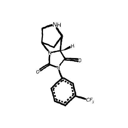 O=C1[C@H]2C3CC(CN3)N2C(=O)N1c1cccc(C(F)(F)F)c1